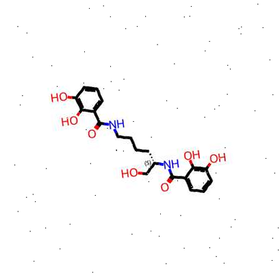 O=C(NCCCC[C@@H](CO)NC(=O)c1cccc(O)c1O)c1cccc(O)c1O